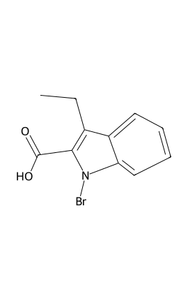 CCc1c(C(=O)O)n(Br)c2ccccc12